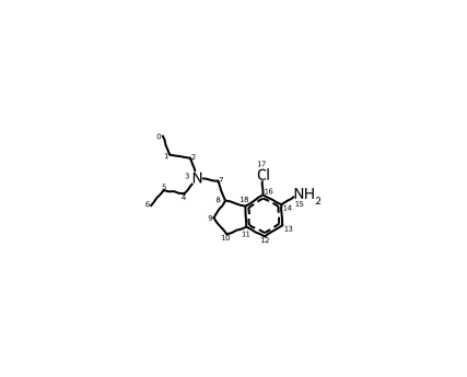 CCCN(CCC)CC1CCc2ccc(N)c(Cl)c21